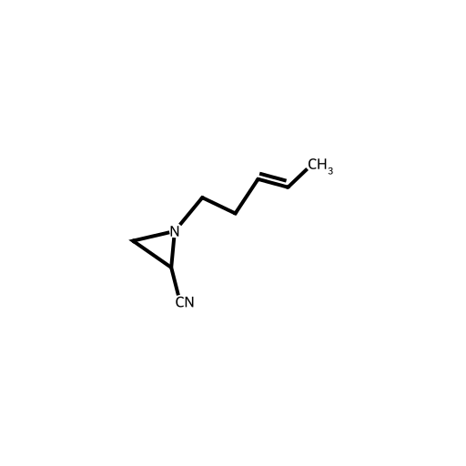 CC=CCCN1CC1C#N